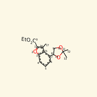 CCOC(=O)c1oc2cccc(C3COC(C)(C)O3)c2c1C